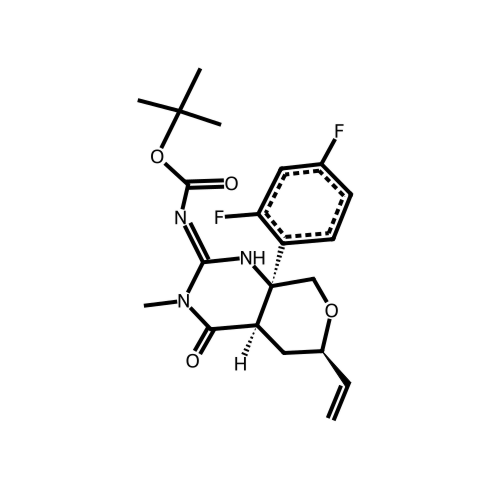 C=C[C@H]1C[C@H]2C(=O)N(C)/C(=N/C(=O)OC(C)(C)C)N[C@@]2(c2ccc(F)cc2F)CO1